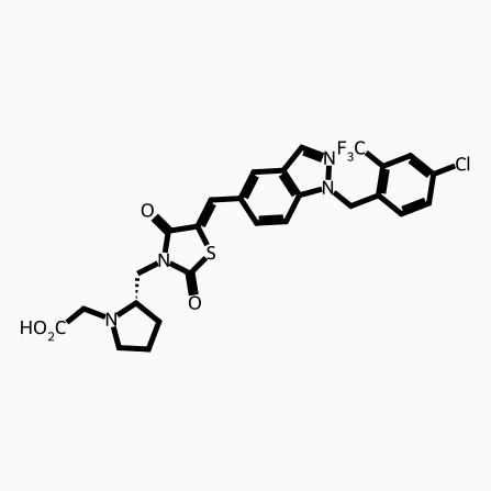 O=C(O)CN1CCC[C@H]1CN1C(=O)S/C(=C\c2ccc3c(cnn3Cc3ccc(Cl)cc3C(F)(F)F)c2)C1=O